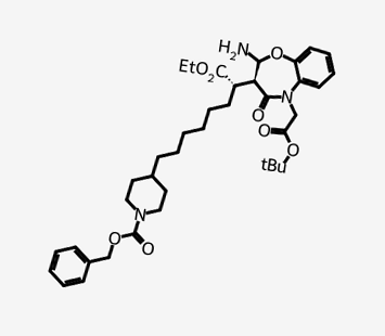 CCOC(=O)[C@@H](CCCCCCC1CCN(C(=O)OCc2ccccc2)CC1)[C@@H]1C(=O)N(CC(=O)OC(C)(C)C)c2ccccc2OC1N